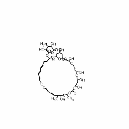 C[C@H]1C[C@H](O)[C@@H](C)/C=C/C=C/CC/C=C/C=C/C=C/C=C/[C@H](O[C@@H]2O[C@H](C)[C@@H](O)[C@H](N)[C@@H]2O)C[C@@H]2O[C@](O)(C[C@@H](O)CCC[C@@H](O)C[C@@H](O)C[C@@H](O)CC(=O)O1)C[C@H](O)[C@H]2C(=O)O